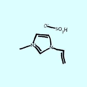 C=Cn1cc[n+](C)c1.O=S(=O)([O-])O